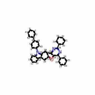 c1ccc(-c2ccc(-n3c4ccccc4c4cc5oc6c(-c7ccccc7)nc(-c7ccccc7)nc6c5cc43)cc2)cc1